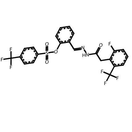 O=C(Cc1c(F)cccc1C(F)(F)F)N/N=C/c1ccccc1OS(=O)(=O)c1ccc(C(F)(F)F)cc1